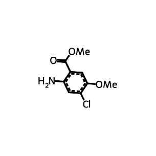 COC(=O)c1cc(OC)c(Cl)cc1N